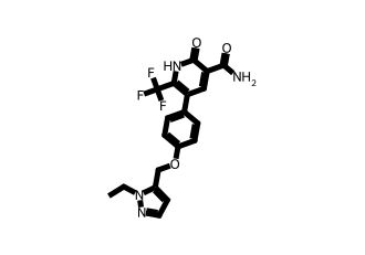 CCn1nccc1COc1ccc(-c2cc(C(N)=O)c(=O)[nH]c2C(F)(F)F)cc1